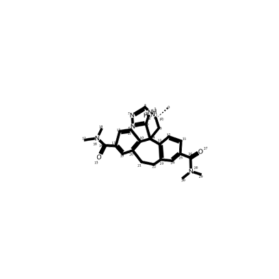 C[C@@H](N)CC1(c2nnc[nH]2)c2ccc(C(=O)N(C)C)cc2CCc2cc(C(=O)N(C)C)ccc21